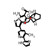 CC(=O)c1c(C2C[C@H]3CC[C@@H](C2)N3C(=O)CO)nc2c(-c3cnc(-c4ncc[nH]4)c(C)c3)cnn2c1N